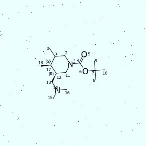 CC1CN(C(=O)OC(C)(C)C)C[C@@H](CN(C)C)[C@H]1C